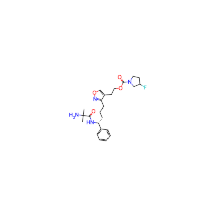 CC(C)(N)C(=O)N[C@H](CCCc1nocc1CCOC(=O)N1CCC(F)C1)c1ccccc1